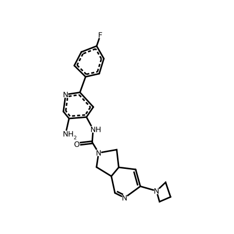 Nc1cnc(-c2ccc(F)cc2)cc1NC(=O)N1CC2C=NC(N3CCC3)=CC2C1